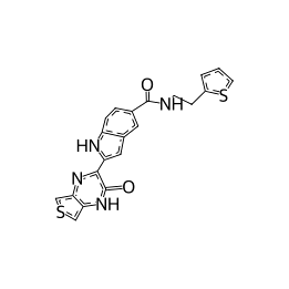 O=C(NCCc1cccs1)c1ccc2[nH]c(-c3nc4cscc4[nH]c3=O)cc2c1